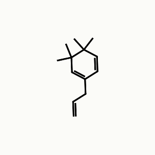 C=CCC1=CC(C)(C)C(C)(C)C=C1